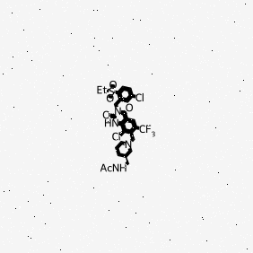 CCS(=O)(=O)c1ccc(Cl)cc1Cn1c(=O)[nH]c2c(Cl)c(CN3CCC[C@H](CNC(C)=O)C3)c(C(F)(F)F)cc2c1=O